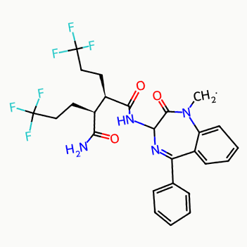 [CH2]N1C(=O)C(NC(=O)[C@H](CCC(F)(F)F)[C@H](CCC(F)(F)F)C(N)=O)N=C(c2ccccc2)c2ccccc21